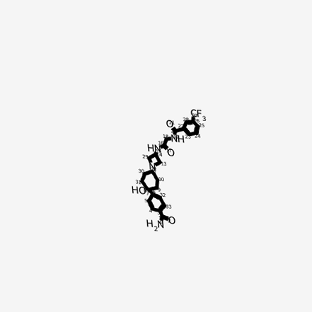 NC(=O)c1ccc([C@]2(O)CC[C@H](N3CC(NC(=O)CNC(=O)c4cccc(C(F)(F)F)c4)C3)CC2)cc1